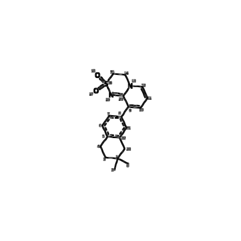 CC1(C)CCc2ccc(C3=CC=CN4CCS(=O)(=O)N=C34)cc2C1